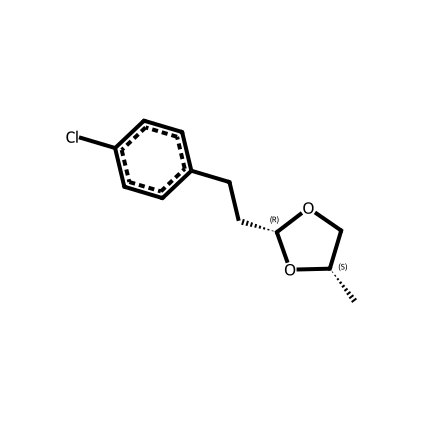 C[C@H]1CO[C@@H](CCc2ccc(Cl)cc2)O1